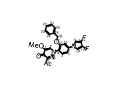 COc1cn(-c2ccc(-n3cc(F)c(F)c3)cc2OCc2ccccc2)nc(C(C)=O)c1=O